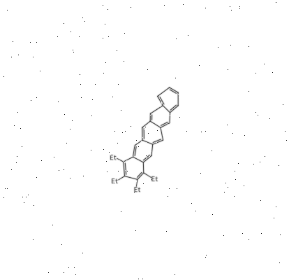 CCc1c(CC)c(CC)c2cc3cc4cc5ccccc5cc4cc3cc2c1CC